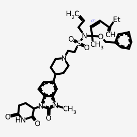 C=CCN(C(C)(/C=C\C(=C)CC)OCc1ccccc1)S(=O)(=O)CCN1CCC(c2ccc3c(c2)n(C)c(=O)n3C2CCC(=O)NC2=O)CC1